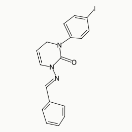 O=C1N(N=Cc2ccccc2)C=CCN1c1ccc(I)cc1